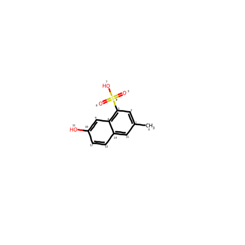 Cc1cc(S(=O)(=O)O)c2cc(O)ccc2c1